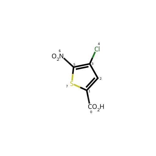 O=C(O)c1cc(Cl)c([N+](=O)[O-])s1